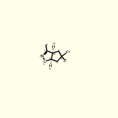 CC1=NO[C@@H]2CC(F)(F)C[C@H]12